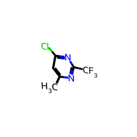 Cc1cc(Cl)nc(C(F)(F)F)n1